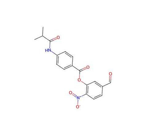 CC(C)C(=O)Nc1ccc(C(=O)Oc2cc(C=O)ccc2[N+](=O)[O-])cc1